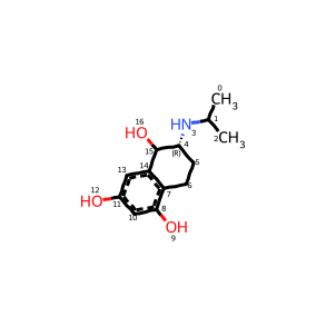 CC(C)N[C@@H]1CCc2c(O)cc(O)cc2C1O